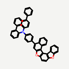 c1ccc(-c2ccc(N(c3ccc(-c4cc5oc6ccc7oc8ccccc8c7c6c5c5ccccc45)cc3)c3ccccc3-c3ccccc3)cc2)cc1